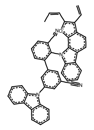 C=Cc1c(/C=C\C)oc2c1ccc1c3ccccc3n(-c3c(C#N)cccc3-c3cc(C#N)cc(-n4c5ccccc5c5ccccc54)c3)c12